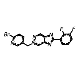 Fc1cccc(-c2nc3cnn(Cc4ccc(Br)nc4)cc-3n2)c1F